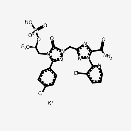 NC(=O)c1nc(Cn2nc(-c3ccc(Cl)cc3)n(C[C@H](OP(=O)([O-])O)C(F)(F)F)c2=O)nn1-c1ncccc1Cl.[K+]